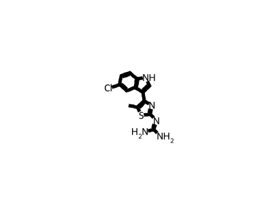 Cc1sc(N=C(N)N)nc1-c1c[nH]c2ccc(Cl)cc12